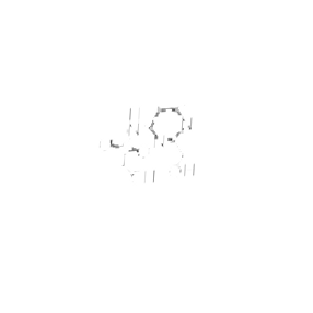 CCS(N)(=O)=O.OCc1ncccn1